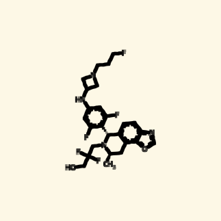 C[C@@H]1Cc2c(ccc3ncoc23)[C@@H](c2c(F)cc(NC3CN(CCCF)C3)cc2F)N1CC(F)(F)CO